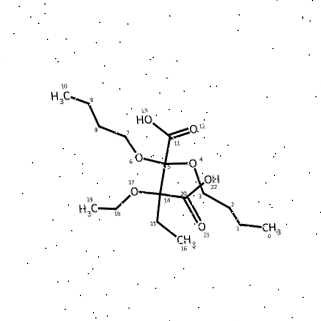 CCCCOC(OCCCC)(C(=O)O)C(CC)(OCC)C(=O)O